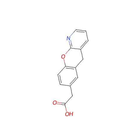 O=C(O)Cc1ccc2c(c1)Cc1cccnc1O2